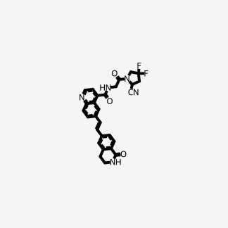 N#CC1CC(F)(F)CN1C(=O)CNC(=O)c1ccnc2ccc(C=Cc3ccc4c(c3)CCNC4=O)cc12